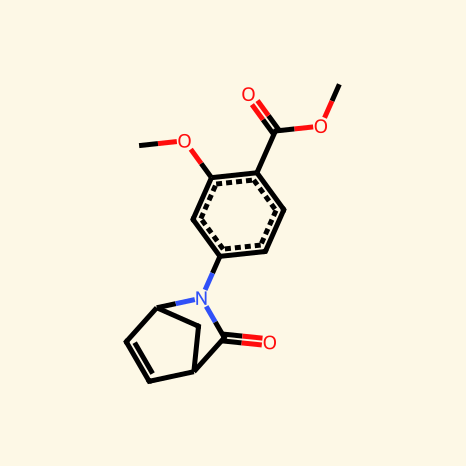 COC(=O)c1ccc(N2C(=O)C3C=CC2C3)cc1OC